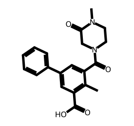 Cc1c(C(=O)O)cc(-c2ccccc2)cc1C(=O)N1CCN(C)C(=O)C1